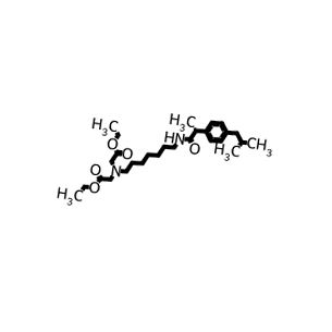 CCOC(=O)CN(CCCCCCCNC(=O)[C@@H](C)c1ccc(CC(C)C)cc1)CC(=O)OCC